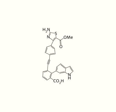 COC(=O)c1sc(N)nc1-c1ccc(C#Cc2cccc(C(=O)O)c2-c2ccc3cc[nH]c3c2)cc1